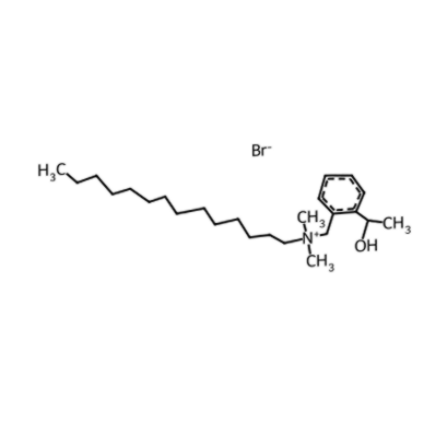 CCCCCCCCCCCCCC[N+](C)(C)Cc1ccccc1C(C)O.[Br-]